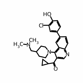 CN(C)CC1CCN(c2c(C(=O)C3CC3)cnc3ccc(-c4ccc(O)c(Cl)c4)cc23)CC1